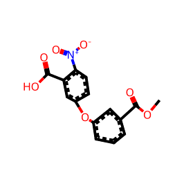 COC(=O)c1cccc(Oc2ccc([N+](=O)[O-])c(C(=O)O)c2)c1